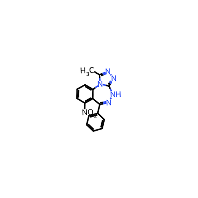 Cc1nnc2n1-c1cccc([N+](=O)[O-])c1C(c1ccccc1)=NN2